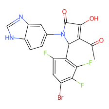 CC(=O)C1=C(O)C(=O)N(c2ccc3[nH]cnc3c2)C1c1c(F)cc(Br)c(F)c1F